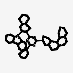 c1ccc(-c2nc(-c3ccc4c(ccc5ccc6ccccc6c54)c3)nc(-c3cc4ccccc4cc3-n3c4ccccc4c4ccccc43)n2)cc1